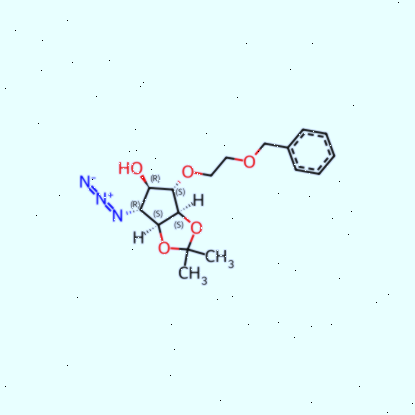 CC1(C)O[C@@H]2[C@@H](OCCOCc3ccccc3)[C@H](O)[C@@H](N=[N+]=[N-])[C@@H]2O1